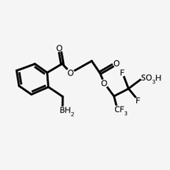 BCc1ccccc1C(=O)OCC(=O)OC(C(F)(F)F)C(F)(F)S(=O)(=O)O